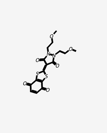 COCCN1C(=O)C(=C2SC3=C(S2)C(=O)C=CC3=O)C(=O)N1CCOC